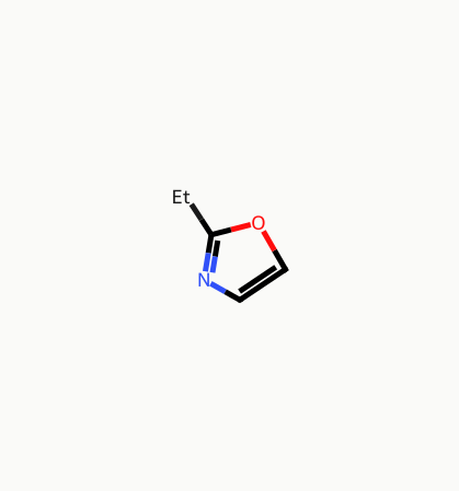 CCc1ncco1